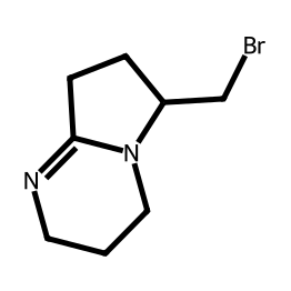 BrCC1CCC2=NCCCN21